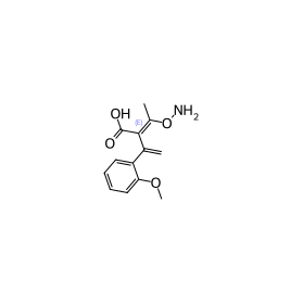 C=C(/C(C(=O)O)=C(/C)ON)c1ccccc1OC